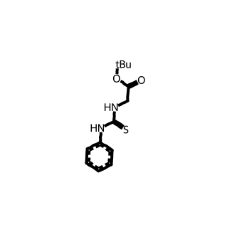 CC(C)(C)OC(=O)CNC(=S)Nc1ccccc1